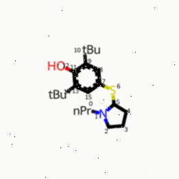 CCCN1CCCC1Sc1cc(C(C)(C)C)c(O)c(C(C)(C)C)c1